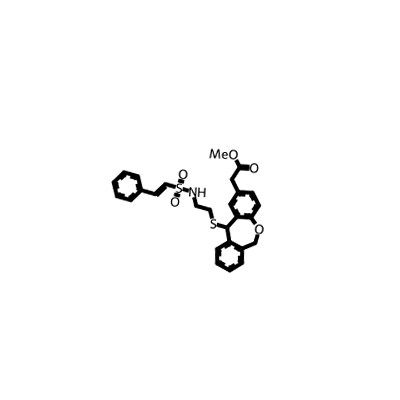 COC(=O)Cc1ccc2c(c1)C(SCCNS(=O)(=O)C=Cc1ccccc1)c1ccccc1CO2